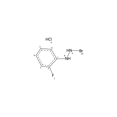 Cl.Fc1ccccc1NNBr